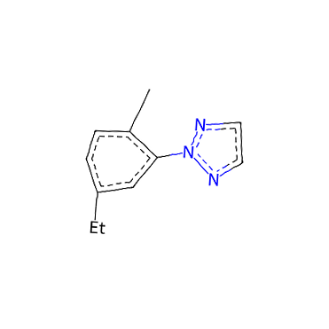 CCc1ccc(C)c(-n2nccn2)c1